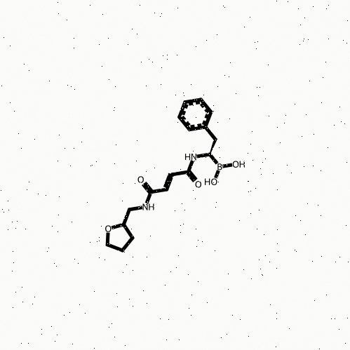 O=C(/C=C/C(=O)N[C@@H](Cc1ccccc1)B(O)O)NCC1CCCO1